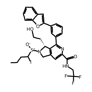 CCCC(I)[S@@+]([O-])N1Cc2cc(C(=O)NCC(F)(F)F)nc(-c3cccc(-c4cc5ccccc5o4)c3)c2[C@H]1CCO